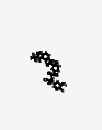 O=C(Nc1ccc(F)c(NC(=O)C(F)(F)Cl)c1F)c1cc(NC(=O)C2[C@H](c3ccc(Cl)c(C(F)(F)F)c3)C2(Cl)Cl)ccc1Cl